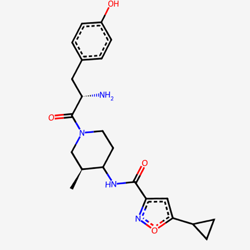 C[C@H]1CN(C(=O)[C@@H](N)Cc2ccc(O)cc2)CCC1NC(=O)c1cc(C2CC2)on1